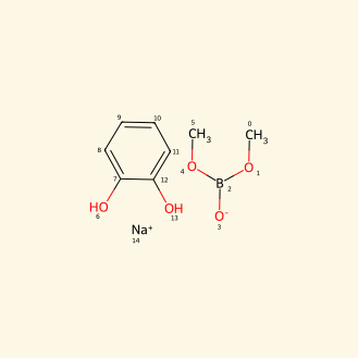 COB([O-])OC.Oc1ccccc1O.[Na+]